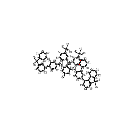 Cc1cc2c3c(c1)N(c1ccc(-c4cccc5c4-c4ccccc4C5(C)C)cc1-c1ccccc1)c1ccc(C(C)(C)C)cc1B3c1cc(C(C)(C)C)ccc1N2c1ccc(-c2cccc3c2-c2ccccc2C3(C)C)cc1